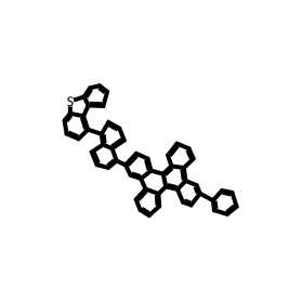 c1ccc(-c2ccc3c(c2)c2ccccc2c2c4ccc(-c5cccc6c(-c7cccc8sc9ccccc9c78)cccc56)cc4c4ccccc4c32)cc1